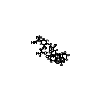 CNC(=O)COc1cc(C(=N)N)ccc1CNC(=O)c1cc(Cl)cc(NC(c2ccccc2)(c2ccccn2)S(C)(=O)=O)c1